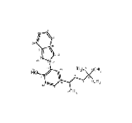 CC(CCC(C)(C)C)c1ccc(O)c(-n2nc3ccccc3n2)c1